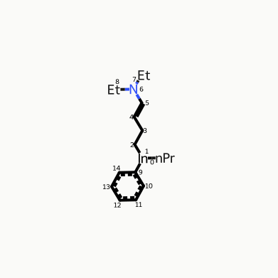 CC[CH2][In]([CH2]CC=CN(CC)CC)[c]1ccccc1